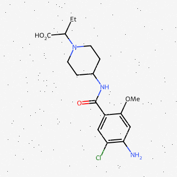 CCC(C(=O)O)N1CCC(NC(=O)c2cc(Cl)c(N)cc2OC)CC1